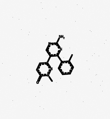 Cc1ccccc1-c1nc(N)ncc1-c1ccc(=O)n(C)n1